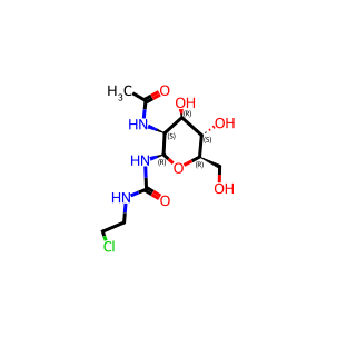 CC(=O)N[C@H]1[C@@H](O)[C@H](O)[C@@H](CO)O[C@H]1NC(=O)NCCCl